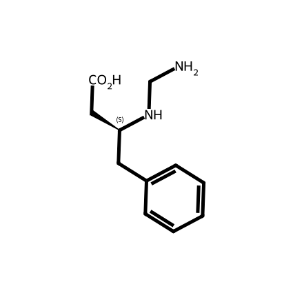 NCN[C@H](CC(=O)O)Cc1ccccc1